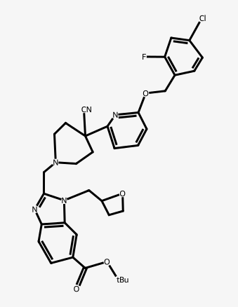 CC(C)(C)OC(=O)c1ccc2nc(CN3CCC(C#N)(c4cccc(OCc5ccc(Cl)cc5F)n4)CC3)n(CC3CCO3)c2c1